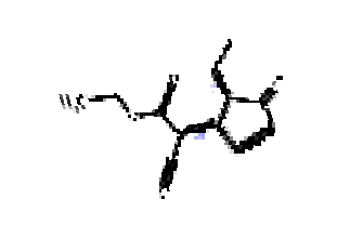 CCOC(=O)/C(C#N)=C1/C=CC(=O)/C1=C\I